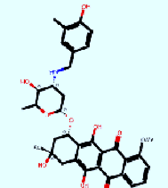 COc1cccc2c1C(=O)c1c(O)c3c(c(O)c1C2=O)C[C@@](O)(C(C)=O)C[C@@H]3O[C@H]1C[C@@H](NCc2ccc(O)c(C)c2)[C@H](O)C(C)O1